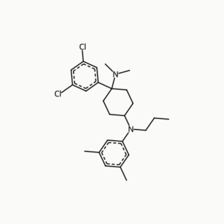 CCCN(c1cc(C)cc(C)c1)C1CCC(c2cc(Cl)cc(Cl)c2)(N(C)C)CC1